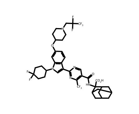 O=C(NC1(C(=O)O)C2CC3CC(C2)CC1C3)c1cnc(-c2cn(C3CCC(F)(F)CC3)c3cc(OC4CCN(CC(F)(F)C(F)(F)F)CC4)ccc23)nc1C(F)(F)F